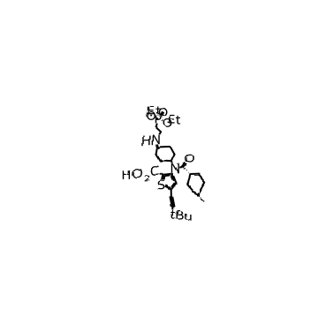 CCOP(=O)(CCNC1CCC(N(c2cc(C#CC(C)(C)C)sc2C(=O)O)C(=O)[C@H]2CC[C@H](C)CC2)CC1)OCC